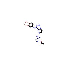 C=CC(=O)N1CCC12CN(c1ccc3ncnc(Nc4ccc5c(c4)OCCO5)c3n1)C2